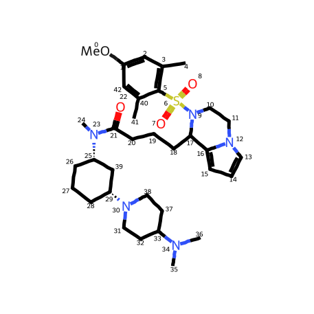 COc1cc(C)c(S(=O)(=O)N2CCn3cccc3C2CCCC(=O)N(C)[C@H]2CCC[C@@H](N3CCC(N(C)C)CC3)C2)c(C)c1